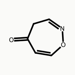 O=C1C=CON=CC1